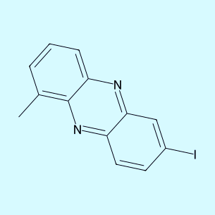 Cc1cccc2nc3cc(I)ccc3nc12